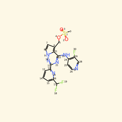 CS(=O)(=O)OCc1ccn2nc(-c3cccc(C(F)F)n3)nc(Nc3ccncc3F)c12